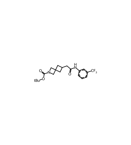 CC(C)(C)OC(=O)N1CC2(CC(CC(=O)Nc3cccc(C(F)(F)F)c3)C2)C1